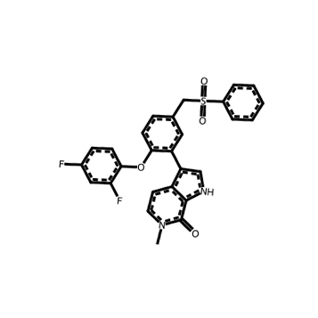 Cn1ccc2c(-c3cc(CS(=O)(=O)c4ccccc4)ccc3Oc3ccc(F)cc3F)c[nH]c2c1=O